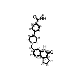 CNC(=O)c1ccc(C2=CCN(Cc3cnc4c5c(c(=O)[nH]c4c3)CCC5)CC2)cn1